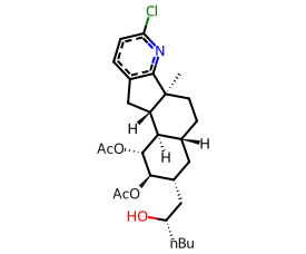 CCCC[C@H](O)C[C@H]1C[C@H]2CC[C@]3(C)c4nc(Cl)ccc4C[C@H]3[C@@H]2[C@@H](OC(C)=O)[C@@H]1OC(C)=O